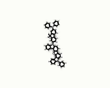 CC1(C)c2cc(N(c3ccccc3)c3ccccc3)ccc2-c2ccc(-n3c4ccccc4c4c5oc6c(ccc7c6c6ccccc6n7-c6ccccc6)c5ccc43)cc21